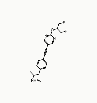 CC(=O)NC(C)Cc1ccc(C#Cc2cnc(OC(CF)CF)nc2)cc1